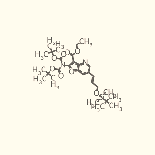 CCOC(=O)c1c(N(C(=O)OC(C)(C)C)C(=O)OC(C)(C)C)oc2cc(C=CCO[Si](C)(C)C(C)(C)C)cnc12